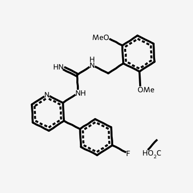 CC(=O)O.COc1cccc(OC)c1CNC(=N)Nc1ncccc1-c1ccc(F)cc1